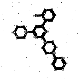 Fc1ccccc1-c1cc(N2CCOCC2)nc(N2CCN(c3ccccn3)CC2)n1